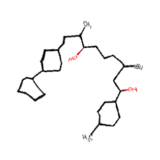 CCC(C)C(CCC[C@@H](O)C(C)CC1CCC(C2CCCC2)CC1)CC(O)C1CCC(C)CC1